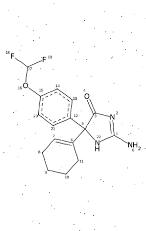 NC1=NC(=O)C(C2=CCCCC2)(c2ccc(OC(F)F)cc2)N1